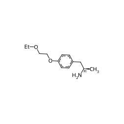 CCOCCOc1ccc(C[C@@H](C)N)cc1